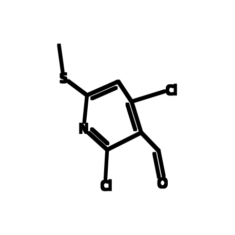 CSc1cc(Cl)c(C=O)c(Cl)n1